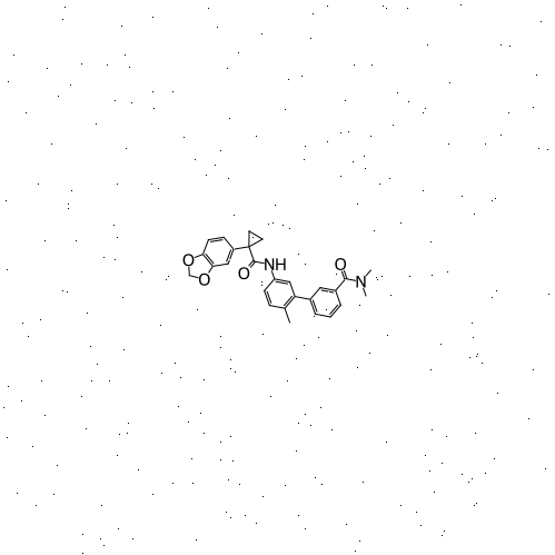 Cc1ccc(NC(=O)C2(c3ccc4c(c3)OCO4)CC2)cc1-c1cccc(C(=O)N(C)C)c1